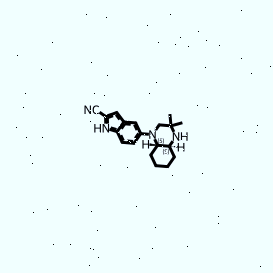 CC1(C)CN(c2ccc3[nH]c(C#N)cc3c2)[C@H]2CCCC[C@@H]2N1